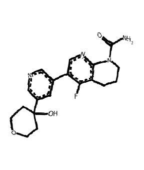 NC(=O)N1CCCc2c1ncc(-c1cncc(C3(O)CCOCC3)c1)c2F